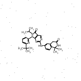 CC(C)n1c(=O)c2cnc(Nc3ccc4c(c3)CC(=O)NC4(C)C)nc2n1-c1cccc(C(C)(C)C)n1